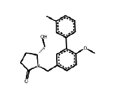 COc1ccc(CN2C(=O)CC[C@@H]2CO)cc1-c1cccc(C)c1